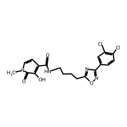 Cn1ccc(C(=O)NCCCCc2nc(-c3ccc(Cl)c(Cl)c3)no2)c(O)c1=O